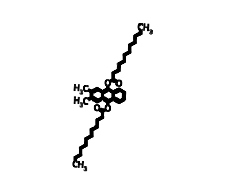 CCCCCCCCCCCC(=O)Oc1c2ccccc2c(OC(=O)CCCCCCCCCCC)c2cc(C)c(C)cc12